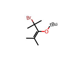 CC(C)=C(OC(C)(C)C)C(C)(C)Br